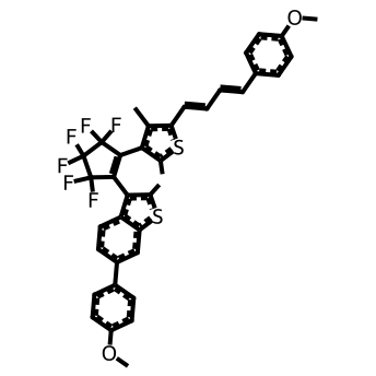 COc1ccc(C=CC=Cc2sc(C)c(C3=C(c4c(C)sc5cc(-c6ccc(OC)cc6)ccc45)C(F)(F)C(F)(F)C3(F)F)c2C)cc1